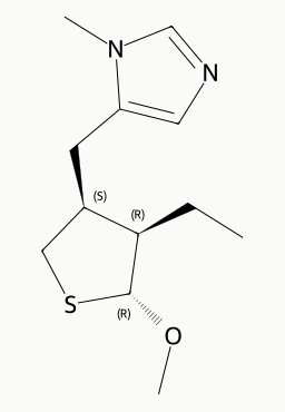 CC[C@@H]1[C@H](Cc2cncn2C)CS[C@H]1OC